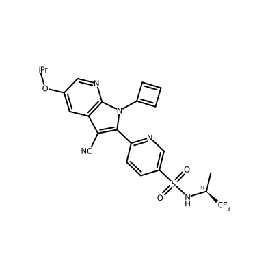 CC(C)Oc1cnc2c(c1)c(C#N)c(-c1ccc(S(=O)(=O)N[C@@H](C)C(F)(F)F)cn1)n2C1=CC=C1